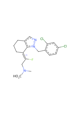 CN(C/C(F)=C1\CCCc2cnn(Cc3ccc(Cl)cc3Cl)c21)C(=O)O